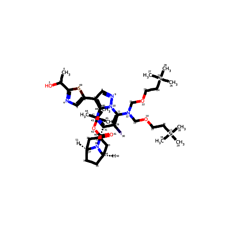 CC(O)c1ncc(-c2cnn3c(N(COCC[Si](C)(C)C)COCC[Si](C)(C)C)c(I)c([C@@H]4C[C@H]5CC[C@@H](C4)N5C(=O)OC(C)(C)C)nc23)s1